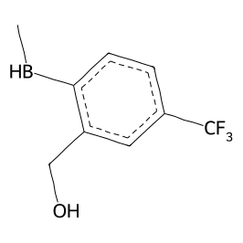 CBc1ccc(C(F)(F)F)cc1CO